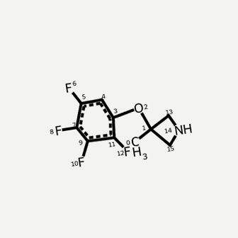 CC1(Oc2cc(F)c(F)c(F)c2F)CNC1